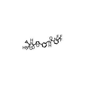 CNC(=O)[C@@H](NC(=O)c1ccc(-c2cccc(CNC(=O)c3cccc(C(F)(F)F)n3)c2)o1)C1CC1